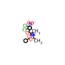 C=CCn1nc(C)c(C(=O)c2ccc([N+](=O)[O-])c(Cl)c2Cl)c1OC(=O)C1CCCCC1